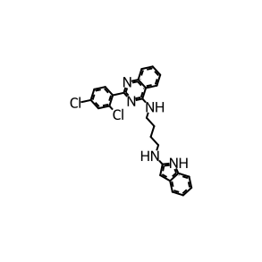 Clc1ccc(-c2nc(NCCCCNc3cc4ccccc4[nH]3)c3ccccc3n2)c(Cl)c1